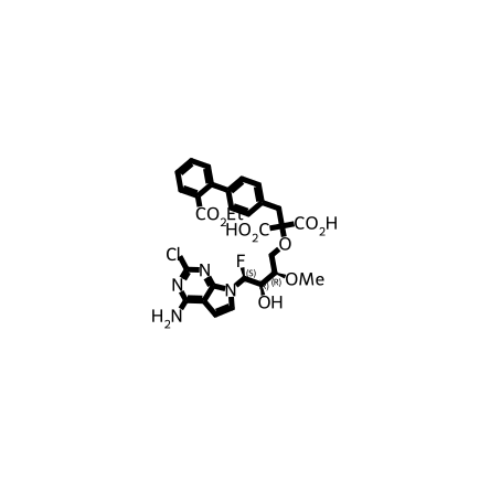 CCOC(=O)c1ccccc1-c1ccc(CC(OC[C@@H](OC)[C@@H](O)[C@H](F)n2ccc3c(N)nc(Cl)nc32)(C(=O)O)C(=O)O)cc1